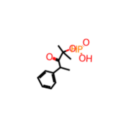 CC(C(=O)C(C)(C)O[PH](=O)O)c1ccccc1